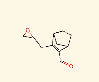 O=CC1=C(CC2CO2)C2CCC1C2